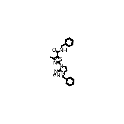 Cc1nc(N2CCN(Cc3ccccc3)/C2=N\C#N)sc1C(=O)NCc1ccccc1